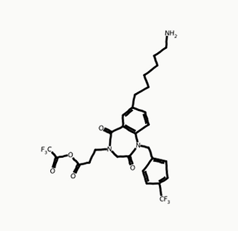 NCCCCCCc1ccc2c(c1)C(=O)N(CCC(=O)OC(=O)C(F)(F)F)CC(=O)N2Cc1ccc(C(F)(F)F)cc1